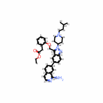 CCOC(=O)Cc1ccccc1OCc1c2cc(-c3ccc4ccnc(N)c4c3)ccc2nn1C1CCN(CCC(C)C)CC1